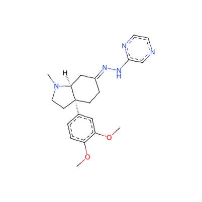 COc1ccc([C@@]23CC/C(=N\Nc4cnccn4)C[C@@H]2N(C)CC3)cc1OC